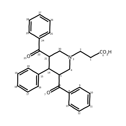 O=C(O)CCN1CC(C(=O)c2ccccc2)C(c2ccccc2)C(C(=O)c2ccccc2)C1